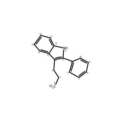 CCCc1c(-c2ccccc2)[nH]c2ccccc12